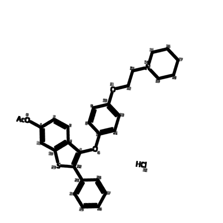 CC(=O)Oc1ccc2c(Oc3ccc(OCCN4CCCCC4)cc3)c(-c3ccccc3)sc2c1.Cl